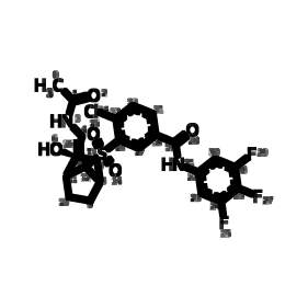 CC(=O)NC[C@]1(O)CC2CCC1[C@@H]2S(=O)(=O)c1cc(C(=O)Nc2cc(F)c(F)c(F)c2)ccc1Cl